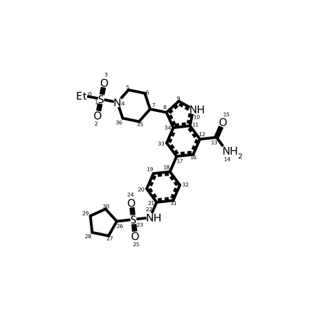 CCS(=O)(=O)N1CCC(c2c[nH]c3c(C(N)=O)cc(-c4ccc(NS(=O)(=O)C5CCCC5)cc4)cc23)CC1